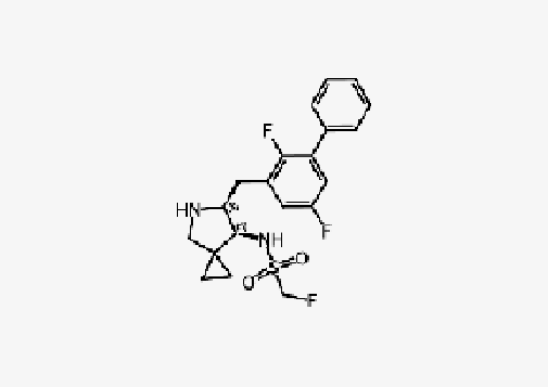 O=S(=O)(CF)N[C@@H]1[C@H](Cc2cc(F)cc(-c3ccccc3)c2F)NCC12CC2